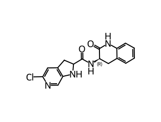 O=C(N[C@@H]1Cc2ccccc2NC1=O)C1Cc2cc(Cl)ncc2N1